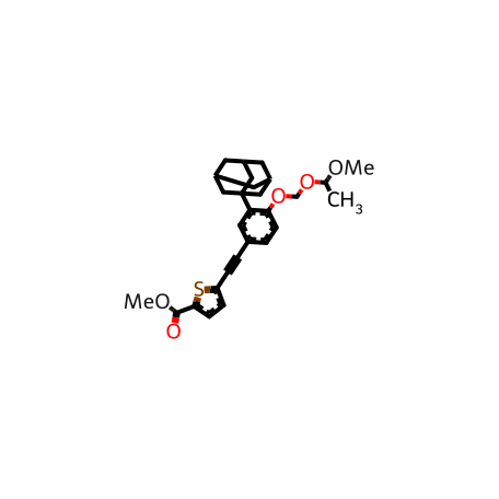 COC(=O)c1ccc(C#Cc2ccc(OCOC(C)OC)c(C34CC5CC(CC(C5)C3)C4)c2)s1